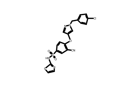 N#Cc1cc(S(=O)(=O)Nc2nccs2)ccc1Oc1cnn(Cc2ccc(Cl)cc2)c1